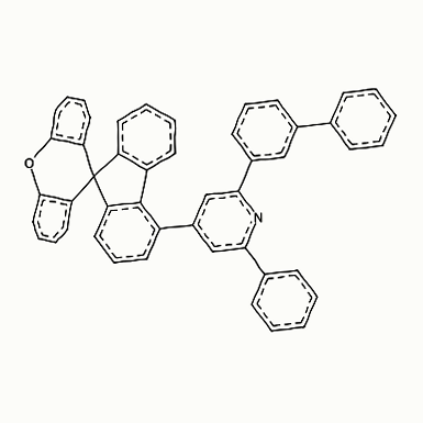 c1ccc(-c2cccc(-c3cc(-c4cccc5c4-c4ccccc4C54c5ccccc5Oc5ccccc54)cc(-c4ccccc4)n3)c2)cc1